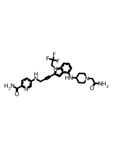 NC(=O)CN1CCC(Nc2cccc3c2cc(C#CCNc2ccc(C(N)=O)nc2)n3CC(F)(F)F)CC1